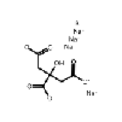 O=C([O-])CC(O)(CC(=O)[O-])C(=O)[O-].[Br-].[Na+].[Na+].[Na+].[Na+]